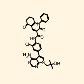 CC(C)(O)Cn1cc(-c2ccc(NC(=O)c3cc4c(n(-c5ccccc5)c3=O)CCCC4=O)c(Cl)c2)c2c(N)ncnc21